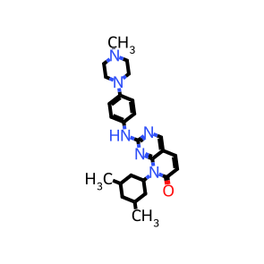 CC1CC(C)CC(n2c(=O)ccc3cnc(Nc4ccc(N5CCN(C)CC5)cc4)nc32)C1